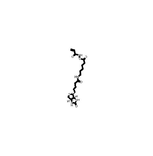 C=CC(=O)NOC(=O)CCCCCNC(=O)CCCC[C@@H]1SC[C@@H]2NC(=O)N[C@@H]21